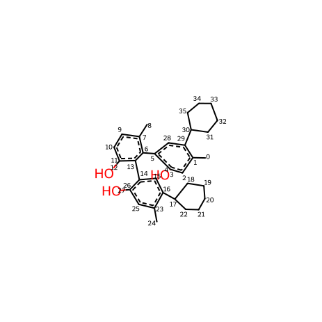 Cc1cc(O)c(-c2c(C)ccc(O)c2-c2cc(C3CCCCC3)c(C)cc2O)cc1C1CCCCC1